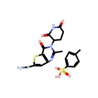 Cc1ccc(S(=O)(=O)O)cc1.Cc1nc2cc(CN)sc2c(=O)n1C1CCC(=O)NC1=O